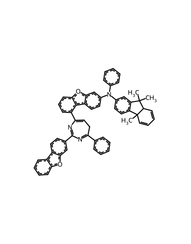 CC1(C)c2cc(N(c3ccccc3)c3ccc4c(c3)oc3cccc(C5=CCC(c6ccccc6)=NC(c6ccc7c(c6)oc6ccccc67)=N5)c34)ccc2C2(C)C=CC=CC12